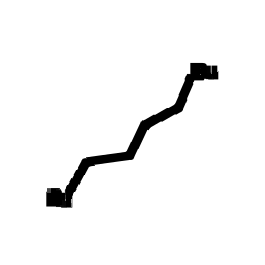 CCC(C)CCCCC(C)CC